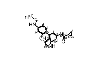 CCCSNc1ccc(-c2cc(NC(=O)C3CC3)nc3[nH]ccc23)c(C)c1